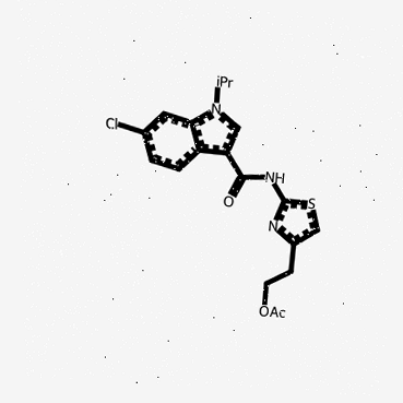 CC(=O)OCCc1csc(NC(=O)c2cn(C(C)C)c3cc(Cl)ccc23)n1